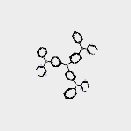 C/C=C\C(=C/C)N(c1ccccc1)c1ccc(N(c2ccc(N(C(/C=C\C)=C/C)c3ccccc3)cc2)c2ccc(N(C(/C=C\C)=C/C)c3ccccc3)cc2)cc1